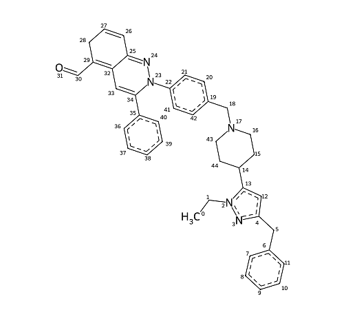 CCn1nc(Cc2ccccc2)cc1C1CCN(Cc2ccc(N3N=C4C=CCC(C=O)=C4C=C3c3ccccc3)cc2)CC1